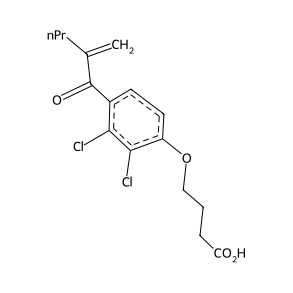 C=C(CCC)C(=O)c1ccc(OCCCC(=O)O)c(Cl)c1Cl